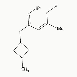 CC(C)/C=C(\C=C(/CF)C(C)(C)C)CC1CC(C)C1